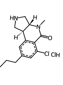 CCCc1cc(Cl)c2c(c1)[C@H]1CNC[C@@H]1N(C)C2=O.Cl